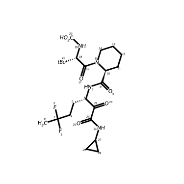 CC(F)(F)CC[C@H](NC(=O)[C@@H]1CCCCN1C(=O)[C@@H](NC(=O)O)C(C)(C)C)C(=O)C(=O)NC1CC1